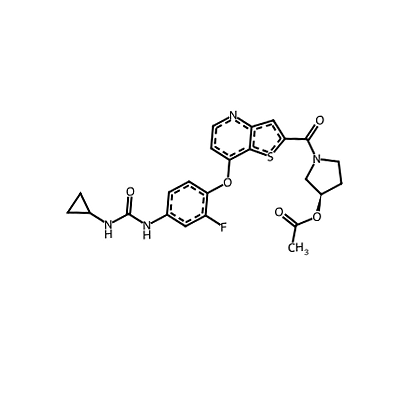 CC(=O)O[C@@H]1CCN(C(=O)c2cc3nccc(Oc4ccc(NC(=O)NC5CC5)cc4F)c3s2)C1